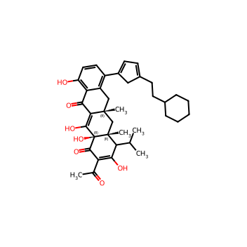 CC(=O)C1=C(O)C(C(C)C)[C@@]2(C)C[C@@]3(C)Cc4c(C5=CC=C(CCC6CCCCC6)C5)ccc(O)c4C(=O)C3=C(O)[C@@]2(O)C1=O